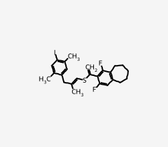 C=C(S/C=C(\C)Cc1cc(C)c(I)cc1C)c1c(F)cc2c(c1F)CCCCC2